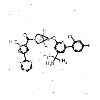 Cn1nc(-c2ncccn2)cc1C(=O)N1C[C@@H]2[C@H](C1)[C@@H]2Oc1cc(C(C)(C)N)cc(-c2ccc(F)cc2Cl)n1